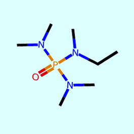 CCN(C)P(=O)(N(C)C)N(C)C